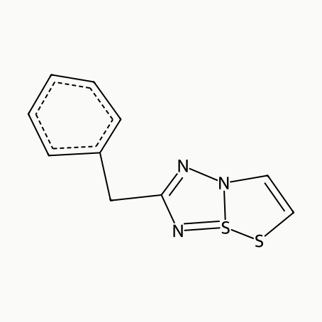 C1=CN2N=C(Cc3ccccc3)N=S2S1